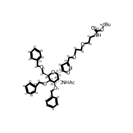 CC(=O)N[C@@H]1[C@@H](OCc2ccccc2)[C@@H](OCc2ccccc2)[C@@H](COCc2ccccc2)O[C@@H]1c1cc(COCCOCCNC(=O)OC(C)(C)C)no1